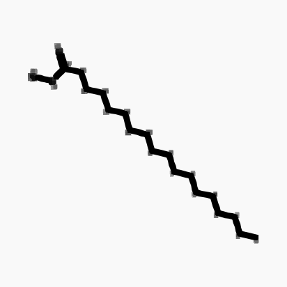 CCCCCCCCCCCCCCCCCC(=O)O[Si]